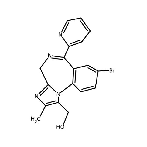 Cc1nc2n(c1CO)-c1ccc(Br)cc1C(c1ccccn1)=NC2